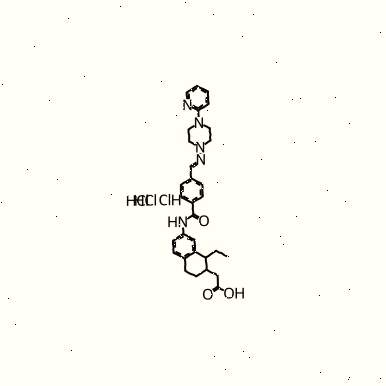 CCC1c2cc(NC(=O)c3ccc(C=NN4CCN(c5ccccn5)CC4)cc3)ccc2CCC1CC(=O)O.Cl.Cl.Cl